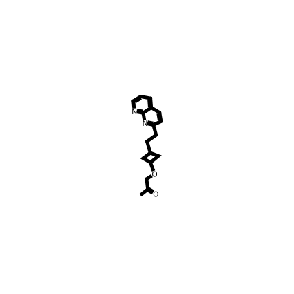 CC(=O)COC1CC(CCc2ccc3cccnc3n2)C1